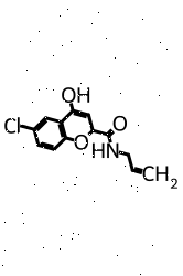 C=CCNC(=O)C1C=C(O)c2cc(Cl)ccc2O1